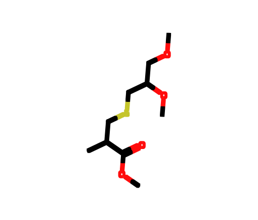 COCC(CSCC(C)C(=O)OC)OC